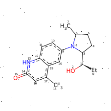 CC[C@@H](O)C1CCC(C)N1c1ccc2[nH]c(=O)cc(C(F)(F)F)c2c1